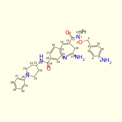 CCCN(OCc1ccc(N)cc1)C(=O)C1=Cc2ccc(C(=O)NC3CCN(c4ccccc4)CC3)cc2N=C(N)C1